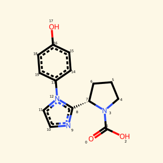 O=C(O)N1CCC[C@H]1c1nccn1-c1ccc(O)cc1